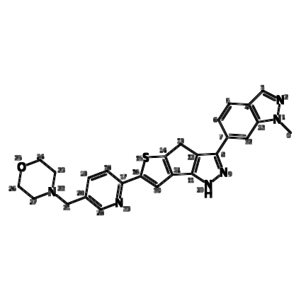 Cn1ncc2ccc(-c3n[nH]c4c3Cc3sc(-c5ccc(CN6CCOCC6)cn5)cc3-4)cc21